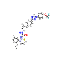 CCCc1ccc(C)cc1N1CCCS/C1=N\C(O)NCCC(C)Cc1ccc(-c2ncn(-c3ccc(OC(F)(F)F)cc3)n2)cc1